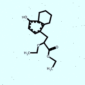 CCOC(=O)C(Cc1ccc(O)c2c1CCCC2)OCC